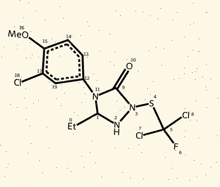 CCC1NN(SC(F)(Cl)Cl)C(=O)N1c1ccc(OC)c(Cl)c1